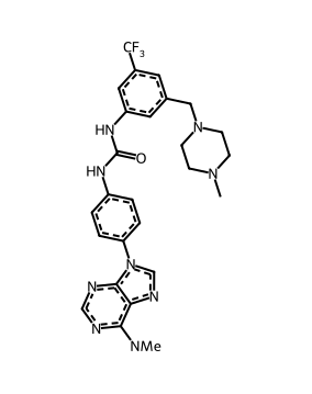 CNc1ncnc2c1ncn2-c1ccc(NC(=O)Nc2cc(CN3CCN(C)CC3)cc(C(F)(F)F)c2)cc1